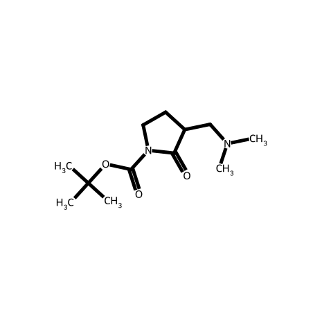 CN(C)CC1CCN(C(=O)OC(C)(C)C)C1=O